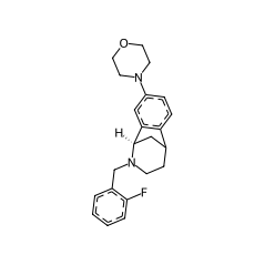 Fc1ccccc1CN1CCC2C[C@@H]1c1cc(N3CCOCC3)ccc12